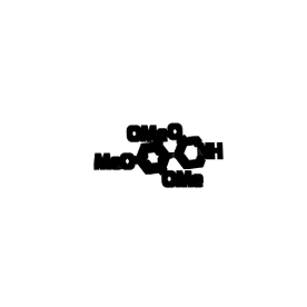 COc1cc(OC)c([C@H]2CCNCC2=O)c(OC)c1